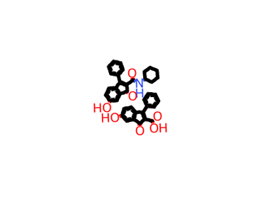 O=C(NC1CCCCC1)C1=C(c2ccccc2)c2ccc(O)cc2C1=O.O=C(O)C1=C(c2ccccc2)c2ccc(O)cc2C1=O